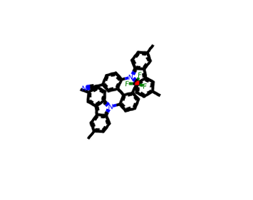 Cc1ccc2c(c1)c1cc(C)ccc1n2-c1ccc(C#N)cc1-c1c(-n2c3ccc(C)cc3c3cc(C)ccc32)cccc1C(F)(F)F